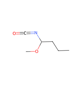 CCCC(N=C=O)OC